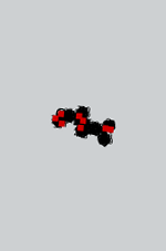 c1ccc(N(c2ccccc2)c2ccc(-c3cc4c5ccccc5c(-c5ccc6oc7ccccc7c6c5)cc4c4ccccc34)cc2)cc1